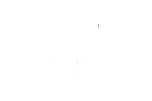 Cc1cccc(CC2=[C]([Ti+3])C=CC2)c1.[Cl-].[Cl-].[Cl-]